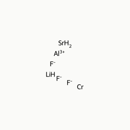 [Al+3].[Cr].[F-].[F-].[F-].[LiH].[SrH2]